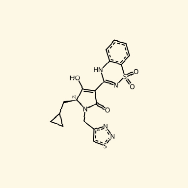 O=C1C(C2=NS(=O)(=O)c3ccccc3N2)=C(O)[C@H](CC2CC2)N1Cc1csnn1